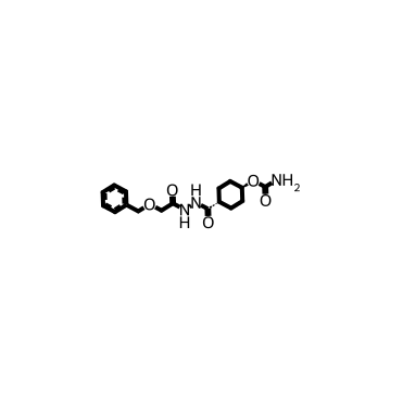 NC(=O)O[C@H]1CC[C@H](C(=O)NNC(=O)COCc2ccccc2)CC1